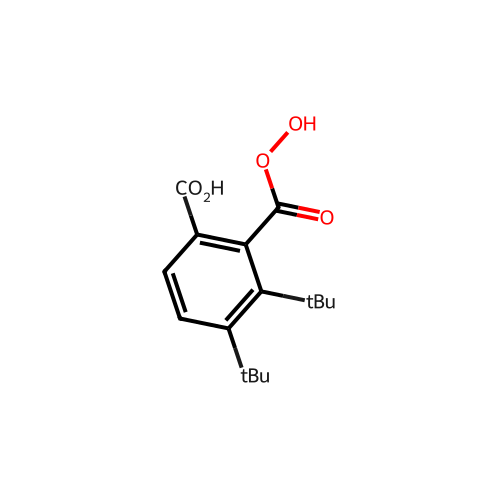 CC(C)(C)c1ccc(C(=O)O)c(C(=O)OO)c1C(C)(C)C